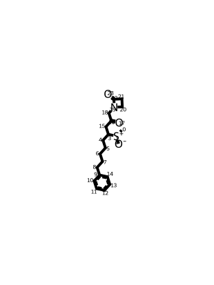 C[S+]([O-])C(CCCCCc1ccccc1)CC(=O)CN1CCC1=O